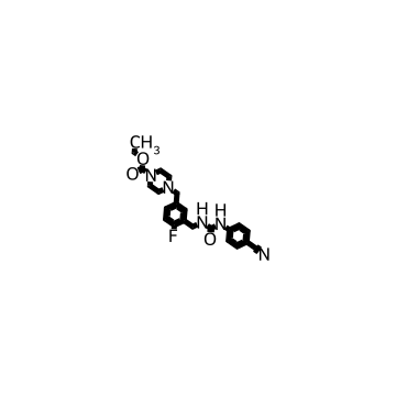 CCOC(=O)N1CCN(Cc2ccc(F)c(CNC(=O)Nc3ccc(C#N)cc3)c2)CC1